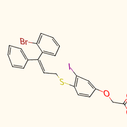 O=C(O)COc1ccc(SCC=C(c2ccccc2)c2ccccc2Br)c(I)c1